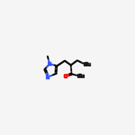 Cn1cncc1CC(CC(C)(C)C)C(=O)C(C)(C)C